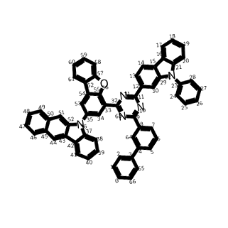 c1ccc(-c2cccc(-c3nc(-c4ccc5c6ccccc6n(-c6ccccc6)c5c4)nc(-c4cc(-n5c6ccccc6c6cc7ccccc7cc65)cc5c4oc4ccccc45)n3)c2)cc1